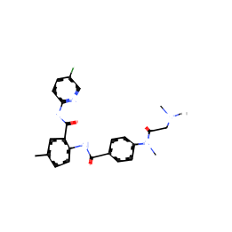 CCCCN(C)CC(=O)N(C)c1ccc(C(=O)Nc2ccc(C)cc2C(=O)Nc2ccc(Cl)cn2)cc1